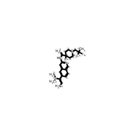 C=C(Nc1cc2cc(/C(=C/N)N(C)N)ccc2cn1)C1(F)CCN(CC(C)(C)F)CC1